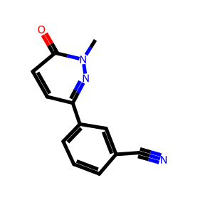 Cn1nc(-c2cccc(C#N)c2)ccc1=O